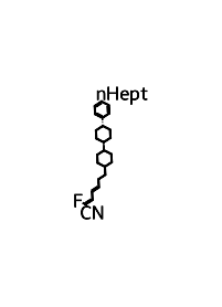 CCCCCCCc1ccc([C@H]2CC[C@H](C3CCC(CC/C=C/C=C(\F)C#N)CC3)CC2)cc1